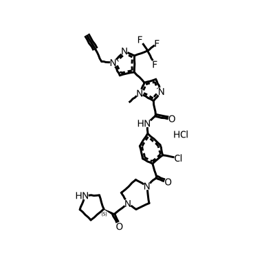 C#CCn1cc(-c2cnc(C(=O)Nc3ccc(C(=O)N4CCN(C(=O)[C@H]5CCNC5)CC4)c(Cl)c3)n2C)c(C(F)(F)F)n1.Cl